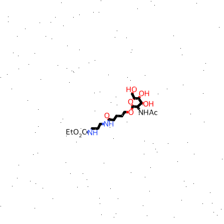 CCOC(=O)NCCCNC(=O)CCCCOC1OC(CO)C(O)C(O)C1NC(C)=O